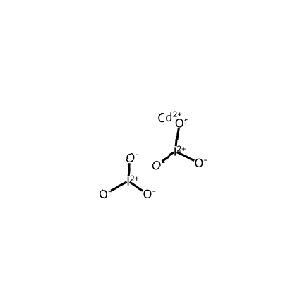 [Cd+2].[O-][I+2]([O-])[O-].[O-][I+2]([O-])[O-]